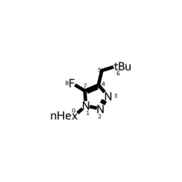 CCCCCCn1nnc(CC(C)(C)C)c1F